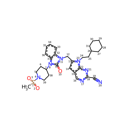 CS(=O)(=O)N1CCC(n2c(=O)n(Cc3cc4cnc(C#N)nc4n3CCC3CCCCC3)c3ccccc32)CC1